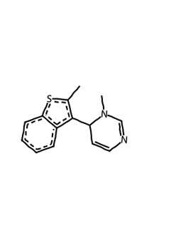 Cc1sc2ccccc2c1C1C=CN=CN1C